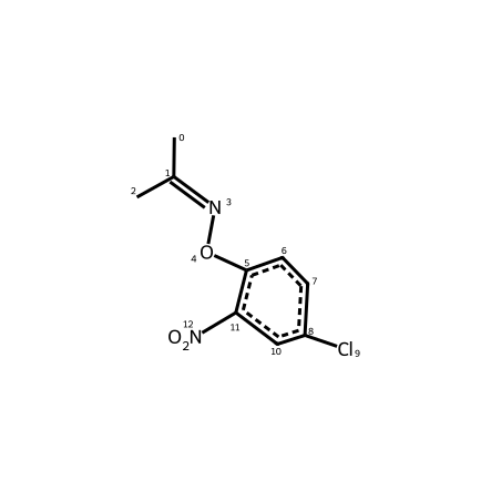 CC(C)=NOc1ccc(Cl)cc1[N+](=O)[O-]